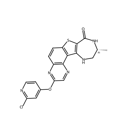 C[C@@H]1CNc2c(sc3ccc4nc(Oc5ccnc(Cl)c5)cnc4c23)C(=O)N1